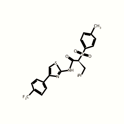 Cc1ccc(S(=O)(=O)[C@@H](CC(C)C)C(=O)Nc2nc(-c3ccc(C(F)(F)F)cc3)cs2)cc1